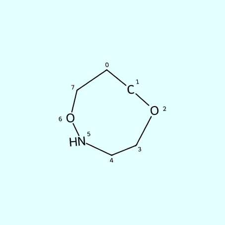 C1COCCNOC1